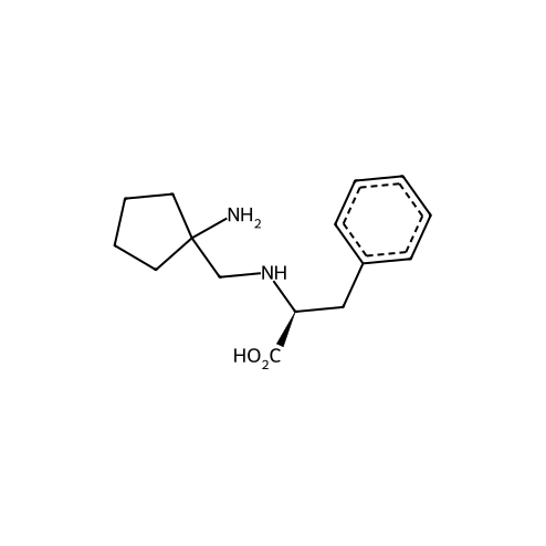 NC1(CN[C@@H](Cc2ccccc2)C(=O)O)CCCC1